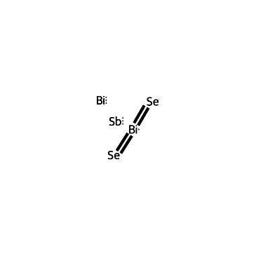 [Bi].[Sb].[Se]=[Bi]=[Se]